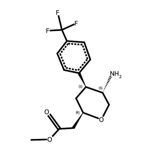 COC(=O)C[C@H]1C[C@@H](c2ccc(C(F)(F)F)cc2)[C@H](N)CO1